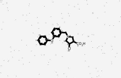 O=C(O)C1CN(Cc2cccc(Oc3ccccc3)c2)CC1Cl